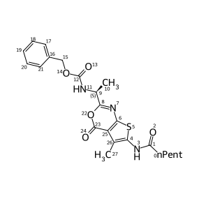 CCCCCC(=O)Nc1sc2nc([C@H](C)NC(=O)OCc3ccccc3)oc(=O)c2c1C